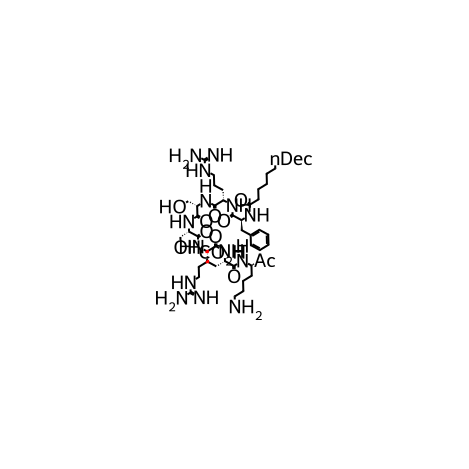 CCCCCCCCCCCCCCCC(=O)N[C@@H](Cc1ccccc1)C(=O)N[C@@H](CCCNC(=N)N)C(=O)N[C@@H](CO)C(=O)N[C@@H](CO)C(=O)N[C@@H](CCCNC(=N)N)C(=O)N[C@@H](CCC(=O)O)C(=O)N[C@@H](CCCCN)C(C)=O